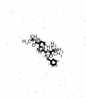 CC(C)NC(=O)c1cccn2c([C@@H](COCc3ccccc3)NC(=O)C(C)(C)N)nnc12